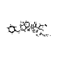 CNC(=O)O[C@](CC(C)C)(C(=O)N[C@H]1CC[C@@H]2CN(Cc3ccccc3)C[C@@H]21)C(C)(C)C